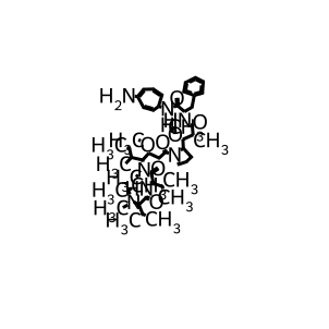 CCC(C)C(C(CC(=O)N1CCCC1C(OC)C(C)C(=O)NC(Cc1ccccc1)C(=O)NC1C=CC=C(N)C=C1)OC)N(C)C(=O)[C@@H](NC(=O)C(C(C)C)N(C)C(C)C)C(C)C